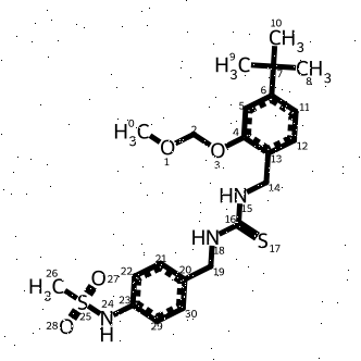 COCOc1cc(C(C)(C)C)ccc1CNC(=S)NCc1ccc(NS(C)(=O)=O)cc1